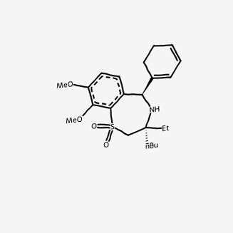 CCCC[C@]1(CC)CS(=O)(=O)c2c(ccc(OC)c2OC)[C@@H](C2=CC=CCC2)N1